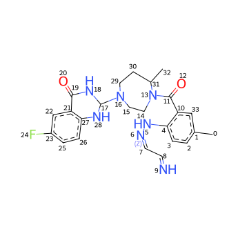 Cc1ccc(N/N=C\C=N)c(C(=O)N2CCN(C3NC(=O)c4cc(F)ccc4N3)CCC2C)c1